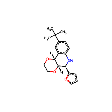 CC(C)(C)c1ccc2c(c1)[C@H]1OCCO[C@H]1[C@H](c1ccco1)N2